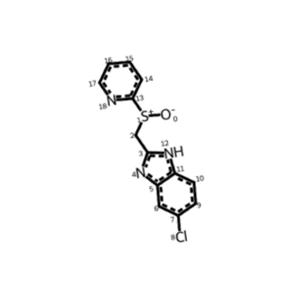 [O-][S+](Cc1nc2cc(Cl)ccc2[nH]1)c1ccccn1